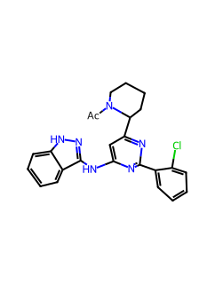 CC(=O)N1CCCCC1c1cc(Nc2n[nH]c3ccccc23)nc(-c2ccccc2Cl)n1